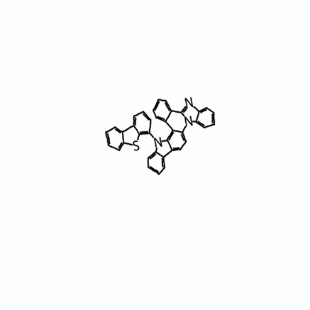 c1ccc2c(c1)nc1c3ccccc3c3c4c(ccc3n21)c1ccccc1n4-c1cccc2c1sc1ccccc12